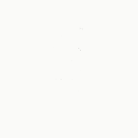 CCOC(=O)Cc1cccc(Br)n1